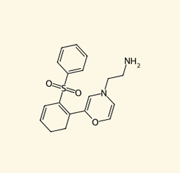 NCCN1C=COC(C2=C(S(=O)(=O)c3ccccc3)C=CCC2)=C1